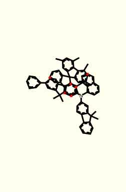 Cc1cc(C)c2c(c1)C1(c3ccccc3-c3cccc(-c4cccc5cccc(N(c6ccc7c(c6)C(C)(C)c6ccccc6-7)c6ccc7c(c6)C(C)(C)c6cc(-c8ccccc8)ccc6-7)c45)c31)c1cc(C)cc(C)c1-2